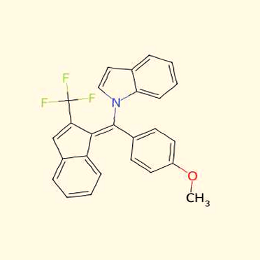 COc1ccc(/C(=C2/C(C(F)(F)F)=Cc3ccccc32)n2ccc3ccccc32)cc1